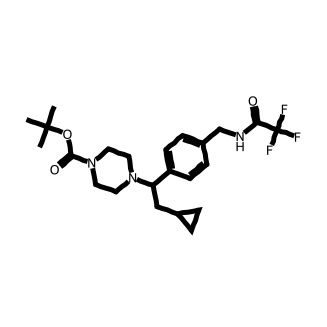 CC(C)(C)OC(=O)N1CCN(C(CC2CC2)c2ccc(CNC(=O)C(F)(F)F)cc2)CC1